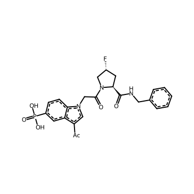 CC(=O)c1cn(CC(=O)N2C[C@H](F)C[C@H]2C(=O)NCc2ccccc2)c2ccc(P(=O)(O)O)cc12